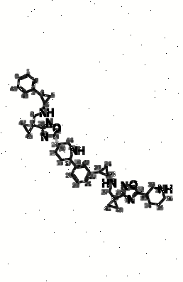 c1ccc(C2CC2NCC2(c3noc([C@H]4CCC(c5cccc(C6C[C@@H]6NCC6(c7noc([C@@H]8CCCNC8)n7)CC6)c5)NC4)n3)CC2)cc1